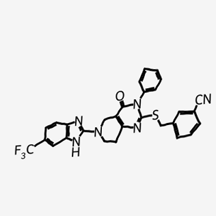 N#Cc1cccc(CSc2nc3c(c(=O)n2-c2ccccc2)CN(c2nc4ccc(C(F)(F)F)cc4[nH]2)CC3)c1